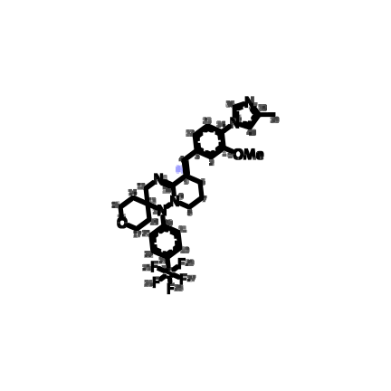 COc1cc(/C=C2\CCCN3C2=NCC2(CCOCC2)N3c2ccc(S(F)(F)(F)(F)F)cc2)ccc1-n1cnc(C)c1